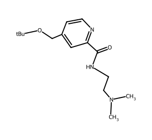 CN(C)CCNC(=O)c1cc(COC(C)(C)C)ccn1